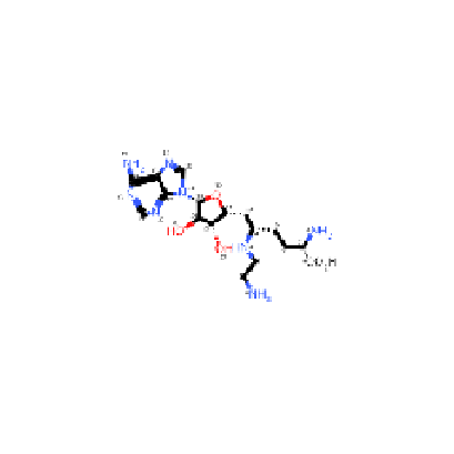 NCCN[C@@H](CC[C@H](N)C(=O)O)C[C@H]1O[C@@H](n2cnc3c(N)ncnc32)C(O)[C@H]1O